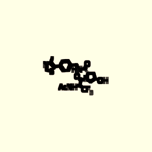 CC(=O)NC(C(=O)N1C[C@H](O)C[C@H]1C(=O)NCc1ccc(-c2scnc2C)cc1)C(F)(F)F